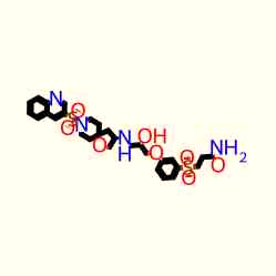 NC(=O)CCS(=O)(=O)c1cccc(OCC(O)CN[C@H]2COC3(CCN(S(=O)(=O)c4cnc5ccccc5c4)CC3)C2)c1